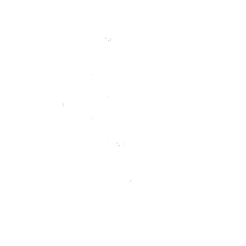 NC(=O)Cc1ccc(OCCNCCCc2ccc(Cl)c(Cl)c2)c(O)c1